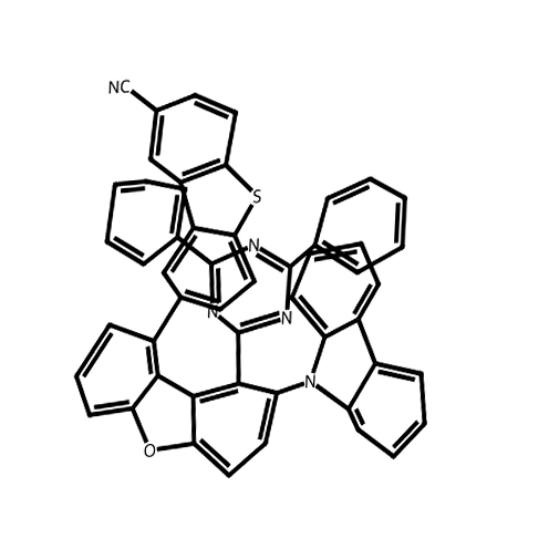 N#Cc1ccc2sc3ccc(-c4cccc5oc6ccc(-n7c8ccccc8c8ccccc87)c(-c7nc(-c8ccccc8)nc(-c8ccccc8)n7)c6c45)cc3c2c1